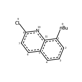 CCCCc1cccc2ccc(Cl)nc12